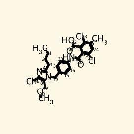 CCCCc1nc(Cl)c(COC)n1Cc1ccc(NC(=O)c2c(Cl)cc(C)c(Cl)c2C(=O)O)cc1